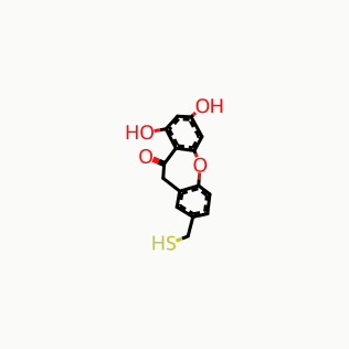 O=C1Cc2cc(CS)ccc2Oc2cc(O)cc(O)c21